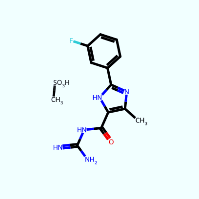 CS(=O)(=O)O.Cc1nc(-c2cccc(F)c2)[nH]c1C(=O)NC(=N)N